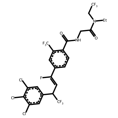 CCN(CC(F)(F)F)C(=O)CNC(=O)c1ccc(/C(F)=C/C(c2cc(Cl)c(Cl)c(Cl)c2)C(F)(F)F)cc1C(F)(F)F